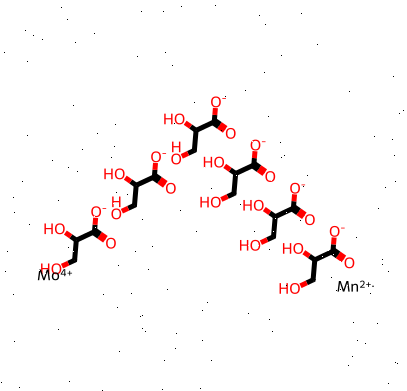 O=C([O-])C(O)CO.O=C([O-])C(O)CO.O=C([O-])C(O)CO.O=C([O-])C(O)CO.O=C([O-])C(O)CO.O=C([O-])C(O)CO.[Mn+2].[Mo+4]